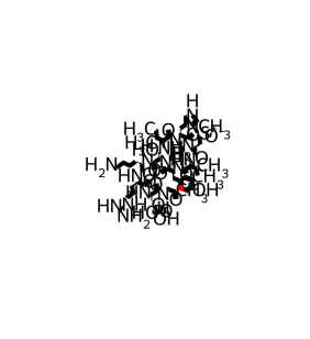 CC[C@H](C)[C@H](N)C(=O)N[C@H](Cc1c[nH]cn1)C(=O)N[C@@H](CC[S+](C)[O-])C(=O)N[C@H](C(=O)N[C@@H](Cc1ccc(O)cc1)C(=O)N[C@@H](CO)C(=O)N[C@@H](CCCCN)C(=O)N[C@H](CCCNC(=N)N)C(=O)N[C@@H](COP(=O)(O)O)C(=O)NCC(C)=O)C(C)C